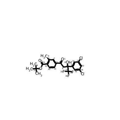 Cc1cc(C(=O)CC(O)(c2cc(Cl)cc(Cl)c2)C(F)(F)F)ccc1C(=O)OC(C)(C)C